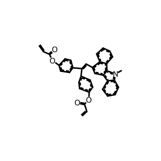 C=CC(=O)Oc1ccc(C(=Cc2cc3c4ccccc4n(C)c3c3ccccc23)c2ccc(OC(=O)C=C)cc2)cc1